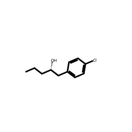 CCC[C@H](O)Cc1ccc(Cl)cc1